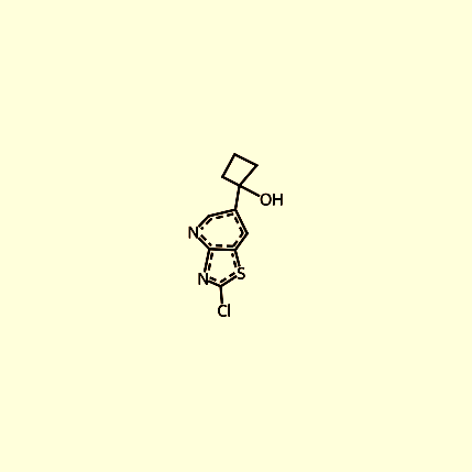 OC1(c2cnc3nc(Cl)sc3c2)CCC1